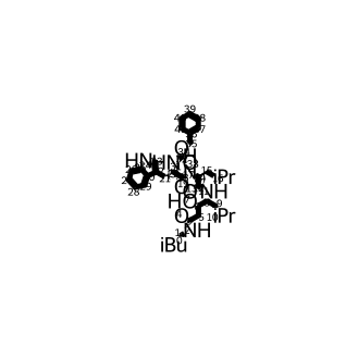 CCC(C)CNC(=O)CC(O)C(CC(C)C)NC(=O)[C@H](CC(C)C)NC(=O)[C@H](Cc1c[nH]c2ccccc12)NC(=O)OCc1ccccc1